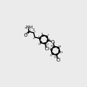 NC(=O)CCc1ccc(Oc2ccc(Cl)cc2)c(Cl)c1